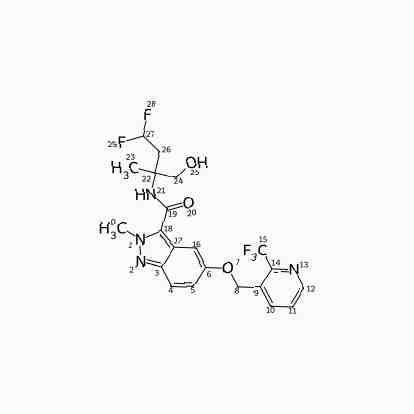 Cn1nc2ccc(OCc3cccnc3C(F)(F)F)cc2c1C(=O)NC(C)(CO)CC(F)F